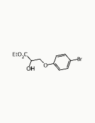 CCOC(=O)C(O)COc1ccc(Br)cc1